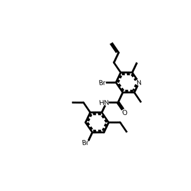 C=CCc1c(C)nc(C)c(C(=O)Nc2c(CC)cc(Br)cc2CC)c1Br